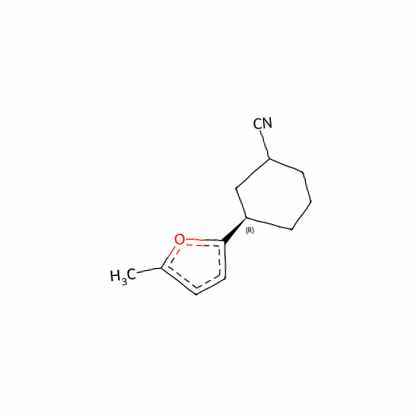 Cc1ccc([C@@H]2CCCC(C#N)C2)o1